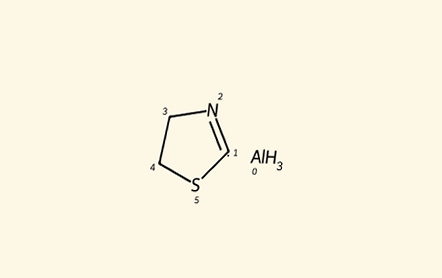 [AlH3].[C]1=NCCS1